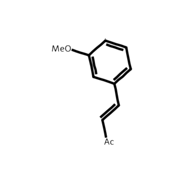 COc1[c]ccc(C=CC(C)=O)c1